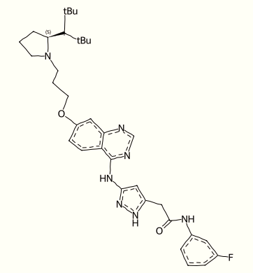 CC(C)(C)[C]([C@@H]1CCCN1CCCOc1ccc2c(Nc3cc(CC(=O)Nc4cccc(F)c4)[nH]n3)ncnc2c1)C(C)(C)C